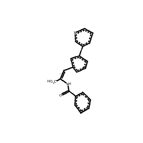 O=C(O)/C(=C/c1cccc(-c2cccnc2)c1)NC(=O)c1ccccc1